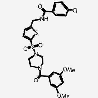 COc1cc(OC)cc(C(=O)N2CCN(S(=O)(=O)c3ccc(CNC(=O)c4ccc(Cl)cc4)s3)CC2)c1